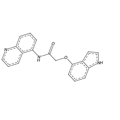 O=C(COc1cccc2[nH]ccc12)Nc1cccc2ncccc12